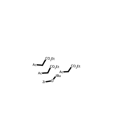 CC(C)(C)[O][Zr].CCOC(=O)CC(C)=O.CCOC(=O)CC(C)=O.CCOC(=O)CC(C)=O